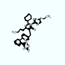 CCCCc1nc(C2CCCCC2)n(-c2ncc(OCC)cn2)c(=O)c1Cc1ccc(-c2ccccc2-c2noc(=O)[nH]2)nc1